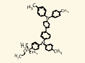 CCO[Si](C)(C)c1ccc(N(c2ccc(C)cc2)c2ccc(-c3ccc(N(c4ccc(C)cc4)c4ccc(C)cc4)cc3)cc2)cc1